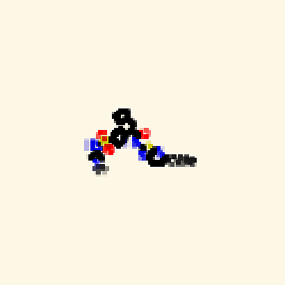 COc1ccc2nc(NC(=O)C(CC3CCCC3)c3ccc(S(=O)(=O)NC4CN(C(C)C)C4)cc3)sc2n1